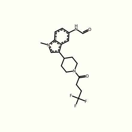 Cn1cc(C2CCN(C(=O)CCC(F)(F)F)CC2)c2cc(NC=O)ccc21